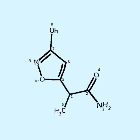 CC(C(N)=O)c1cc(O)no1